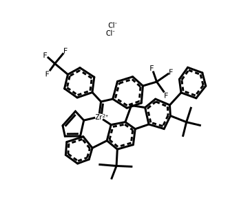 CC(C)(C)c1cc2c(cc1-c1ccccc1)Cc1c-2cc(C(C)(C)C)c(-c2ccccc2)[c]1[Zr+2](=[C](c1ccc(C(F)(F)F)cc1)c1ccc(C(F)(F)F)cc1)[CH]1C=CC=C1.[Cl-].[Cl-]